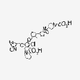 Cc1c(COc2cc(OCc3cncc(C#N)c3)c(CN3CCCC[C@H]3C(=O)O)cc2Cl)cccc1-c1ccc2oc(C3CCN(CC(=O)O)CC3)nc2c1